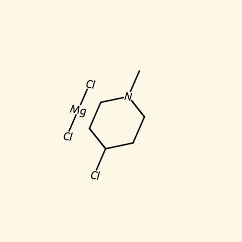 CN1CCC(Cl)CC1.[Cl][Mg][Cl]